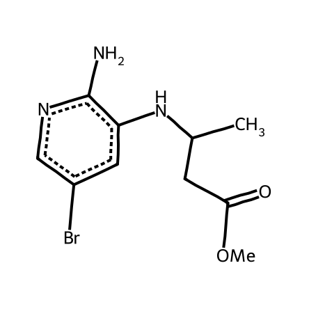 COC(=O)CC(C)Nc1cc(Br)cnc1N